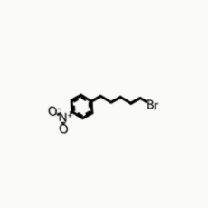 O=[N+]([O-])c1ccc(CCCCCBr)cc1